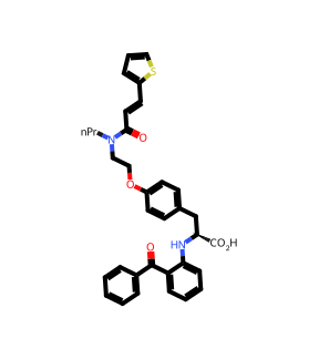 CCCN(CCOc1ccc(C[C@H](Nc2ccccc2C(=O)c2ccccc2)C(=O)O)cc1)C(=O)/C=C/c1cccs1